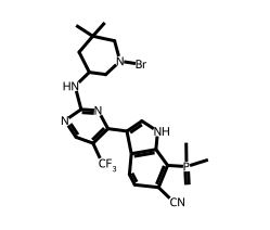 C=P(C)(C)c1c(C#N)ccc2c(-c3nc(NC4CN(Br)CC(C)(C)C4)ncc3C(F)(F)F)c[nH]c12